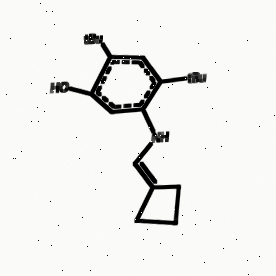 CC(C)(C)c1cc(C(C)(C)C)c(NC=C2CCC2)cc1O